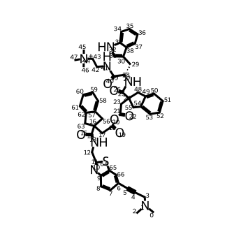 CN(C)CC#Cc1ccc2nc(CNC(=O)C3(CC(=O)OC(=O)CC4(C(=O)N[C@@H](Cc5c[nH]c6ccccc56)C(=O)NCC[N+](C)(C)C)Cc5ccccc5C4)Cc4ccccc4C3)sc2c1